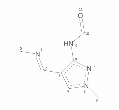 CN=Cc1cn(C)nc1NC=O